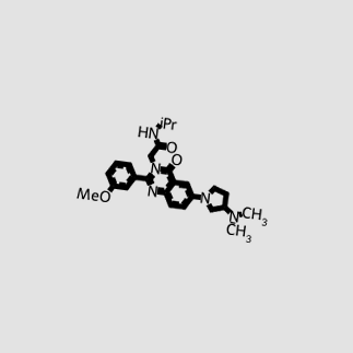 COc1cccc(-c2nc3ccc(N4CCC(N(C)C)C4)cc3c(=O)n2CC(=O)NC(C)C)c1